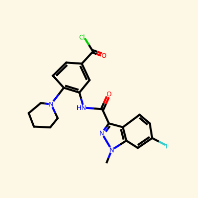 Cn1nc(C(=O)Nc2cc(C(=O)Cl)ccc2N2CCCCC2)c2ccc(F)cc21